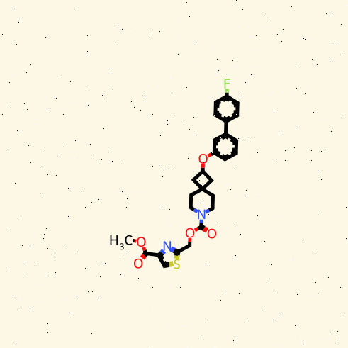 COC(=O)c1csc(COC(=O)N2CCC3(CC2)CC(Oc2cccc(-c4ccc(F)cc4)c2)C3)n1